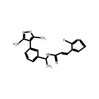 Cc1onc(N)c1-c1cccc(C(C)NC(=O)C=Cc2ccccc2F)c1